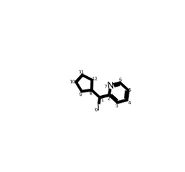 IC(c1ccccn1)C1CCCC1